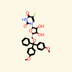 COc1ccc(C(OC[C@@H]2O[C@H](n3cc(F)c(=O)[nH]c3=O)C(O)C2O)(c2ccccc2)c2ccc(OC)cc2)cc1